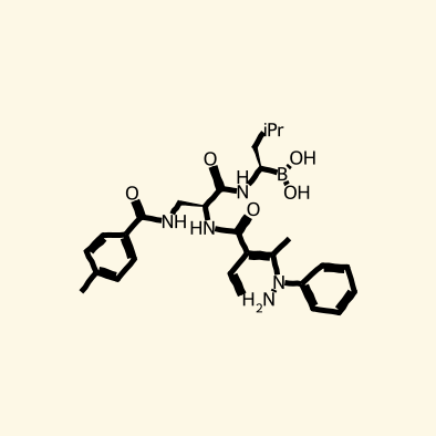 C=C/C(C(=O)N[C@@H](CNC(=O)c1ccc(C)cc1)C(=O)N[C@@H](CC(C)C)B(O)O)=C(/C)N(N)c1ccccc1